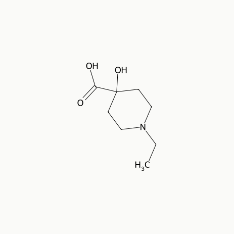 CCN1CCC(O)(C(=O)O)CC1